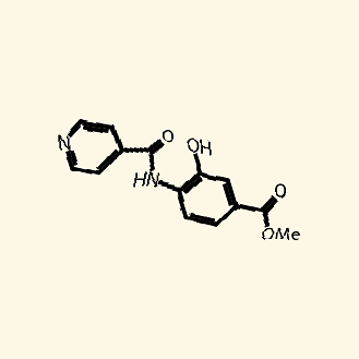 COC(=O)c1ccc(NC(=O)c2ccncc2)c(O)c1